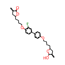 C=C1CC(CCCCOc2ccc(-c3ccc(OCCCCC4CC(=C)C(O)O4)cc3)cc2F)OC1=O